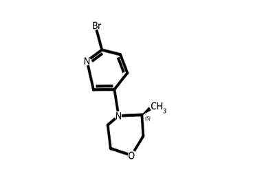 C[C@H]1COCCN1c1ccc(Br)nc1